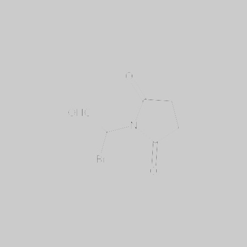 O=CC(Br)N1C(=O)CCC1=O